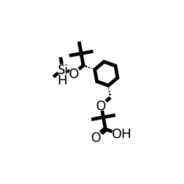 C[SiH](C)OC([C@@H]1CCC[C@H](COC(C)(C)C(=O)O)C1)C(C)(C)C